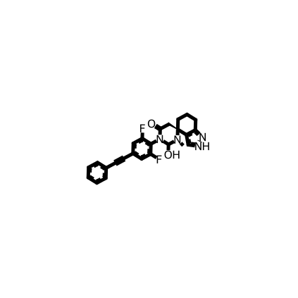 CN1C(O)N(c2c(F)cc(C#Cc3ccccc3)cc2F)C(=O)C[C@]12CCCc1n[nH]cc12